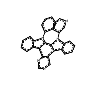 c1ccc(-n2c3ccccc3c3c4ncncc4c4c5ccccc5n(-c5cccnc5)c4c32)cc1